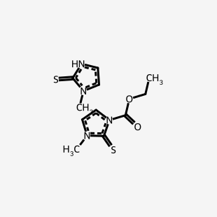 CCOC(=O)n1ccn(C)c1=S.Cn1cc[nH]c1=S